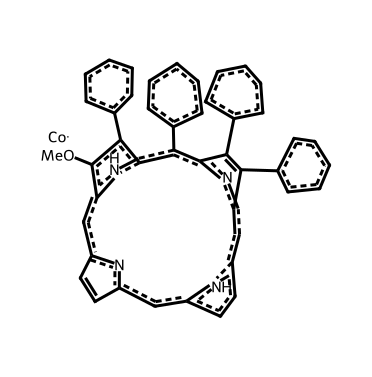 COc1c(-c2ccccc2)c2[nH]c1cc1nc(cc3ccc(cc4nc(c2-c2ccccc2)C(c2ccccc2)=C4c2ccccc2)[nH]3)C=C1.[Co]